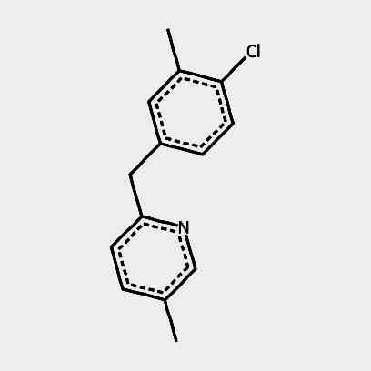 Cc1ccc(Cc2ccc(Cl)c(C)c2)nc1